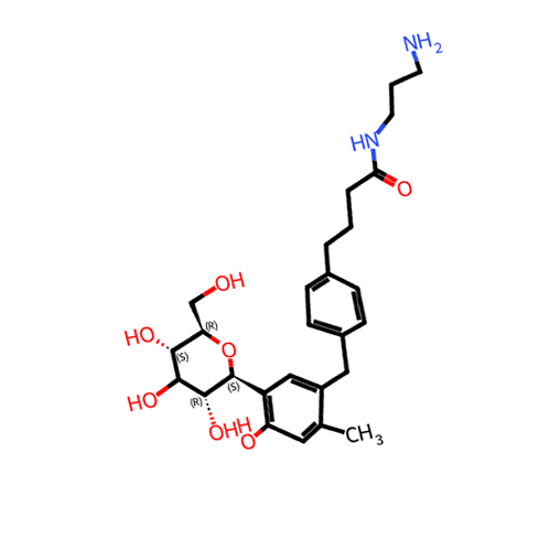 Cc1cc(O)c([C@@H]2O[C@H](CO)[C@@H](O)C(O)[C@H]2O)cc1Cc1ccc(CCCC(=O)NCCCN)cc1